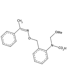 COCN(C(=O)O)c1ccccc1CON=C(C)c1ccccc1